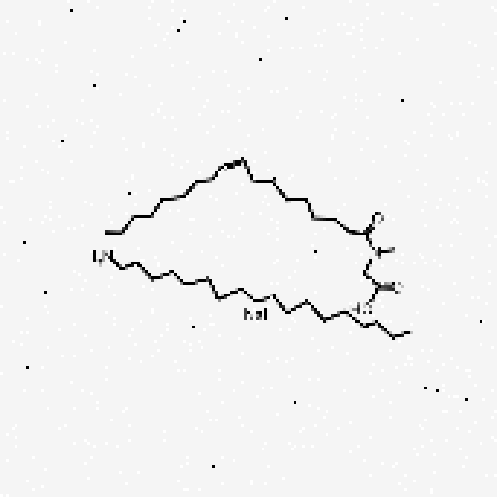 CCCCCCCC/C=C\CCCCCCCC(=O)N(C)CC(=O)O.CCCCCCCCCCCCCCCCCCN.[NaH]